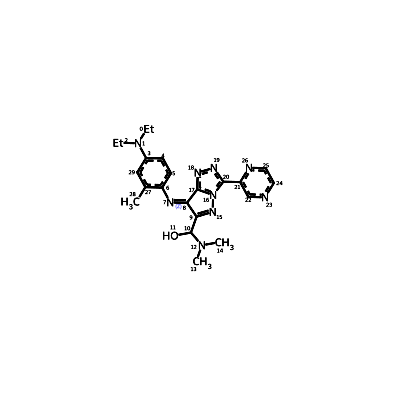 CCN(CC)c1ccc(/N=C2/C(C(O)N(C)C)=Nn3c2nnc3-c2cnccn2)c(C)c1